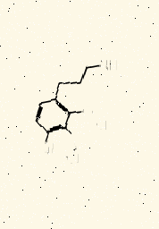 COc1c([SiH3])ccc(CCCN)c1OC